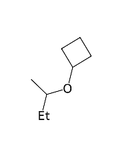 CCC(C)OC1CCC1